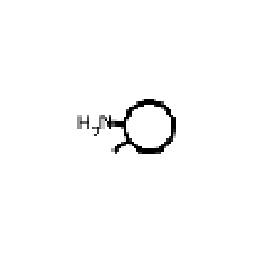 CC1CCCCCCCC1N